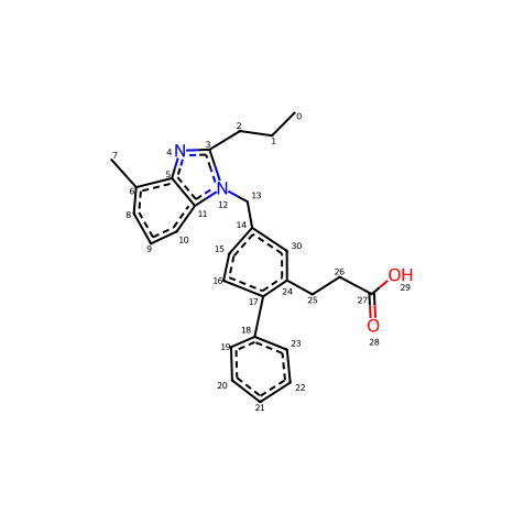 CCCc1nc2c(C)cccc2n1Cc1ccc(-c2ccccc2)c(CCC(=O)O)c1